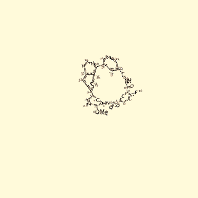 COc1ncc2cc1NS(=O)(=O)c1ccc(F)c(c1)C(=O)NCc1cncc(c1)-c1ncnc3cc-2sc13